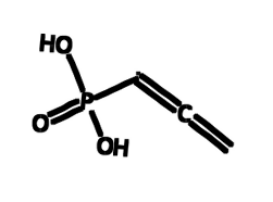 C=C=[C]P(=O)(O)O